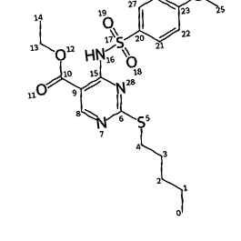 CCCCCSc1ncc(C(=O)OCC)c(NS(=O)(=O)c2ccc(OC)cc2)n1